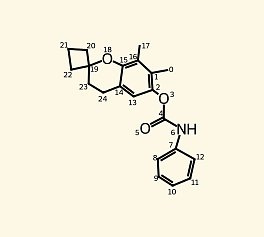 Cc1c(OC(=O)Nc2ccccc2)cc2c(c1C)OC1(CCC1)CC2